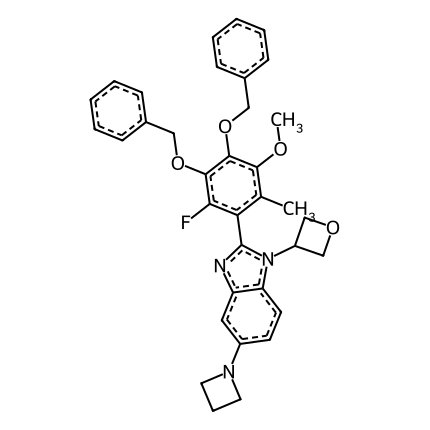 COc1c(C)c(-c2nc3cc(N4CCC4)ccc3n2C2COC2)c(F)c(OCc2ccccc2)c1OCc1ccccc1